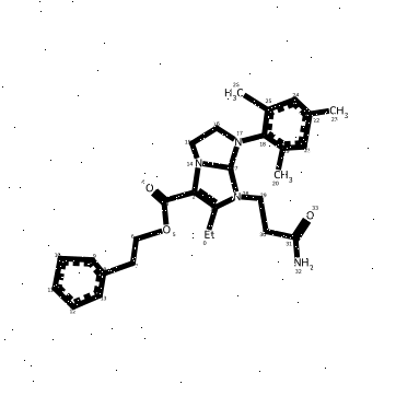 CCC1=C(C(=O)OCCc2ccccc2)N2CCN(c3c(C)cc(C)cc3C)C2N1CCC(N)=O